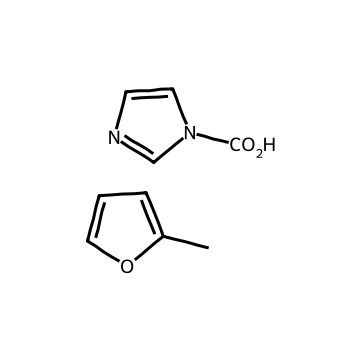 Cc1ccco1.O=C(O)n1ccnc1